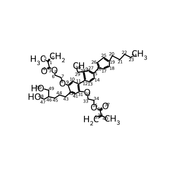 C=C(C)C(=O)OCCOc1cc(-c2ccc(-c3ccc(CCCCC)cc3)cc2CC)c(OCCOC(=O)C(=C)C)cc1CCCC(CO)CO